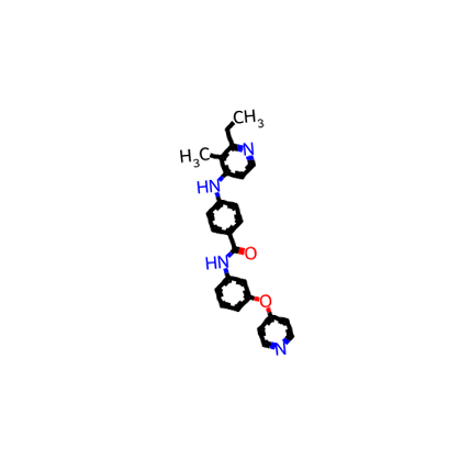 CCc1nccc(Nc2ccc(C(=O)Nc3cccc(Oc4ccncc4)c3)cc2)c1C